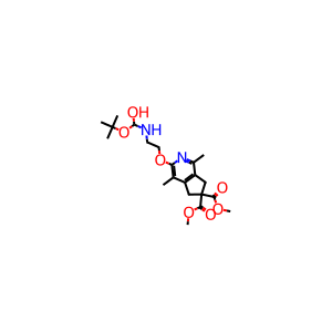 COC(=O)C1(C(=O)OC)Cc2c(C)nc(OCCNC(O)OC(C)(C)C)c(C)c2C1